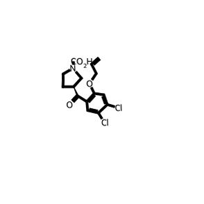 C=CCOc1cc(Cl)c(Cl)cc1C(=O)[C@H]1CCN(C(=O)O)C1